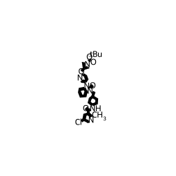 Cc1ncc(Cl)cc1C(=O)NC1CCC(Cn2c(=O)n(-c3ccc(OC4CN(C(=O)OC(C)(C)C)C4)nc3)c3ccccc32)CC1